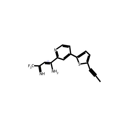 CC#Cc1ccc(-c2ccnc(/C(N)=C/C(=N)C(F)(F)F)c2)s1